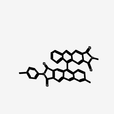 Cc1ccc(N2C(=O)c3cc4cc5cc(C)ccc5c(-c5c6ccccc6cc6cc7c(cc56)C(=O)N(C)C7=O)c4cc3C2=O)cc1